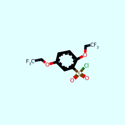 O=S(=O)(Cl)c1cc(OCC(F)(F)F)ccc1OCC(F)(F)F